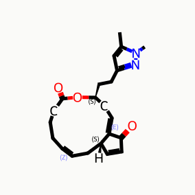 Cc1cc(CC[C@H]2C/C=C3/C(=O)C=C[C@@H]3C/C=C\CCCC(=O)O2)nn1C